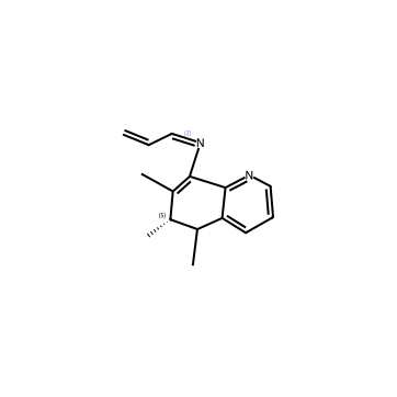 C=C/C=N\C1=C(C)[C@@H](C)C(C)c2cccnc21